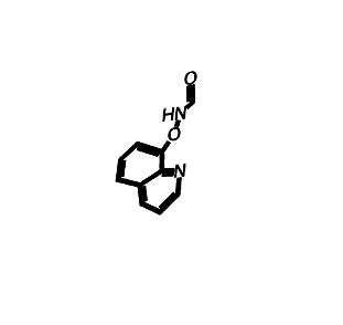 O=CNOc1cccc2cccnc12